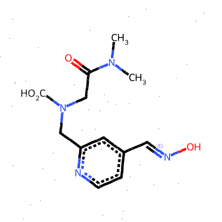 CN(C)C(=O)CN(Cc1cc(/C=N/O)ccn1)C(=O)O